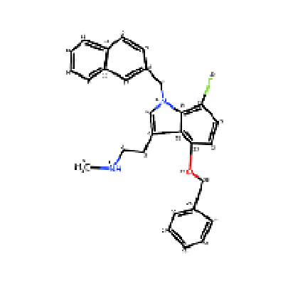 CNCCc1cn(Cc2ccc3ccccc3c2)c2c(F)ccc(OCc3ccccc3)c12